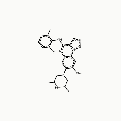 COc1cc2c(cc1N1CC(C)NC(C)C1)nc(Nc1c(C)cccc1Cl)c1cncn12